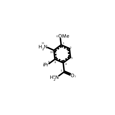 COc1ccc(C(N)=O)c(C(C)C)c1N